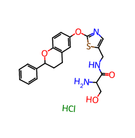 Cl.NC(CO)C(=O)NCc1cnc(Oc2ccc3c(c2)CCC(c2ccccc2)O3)s1